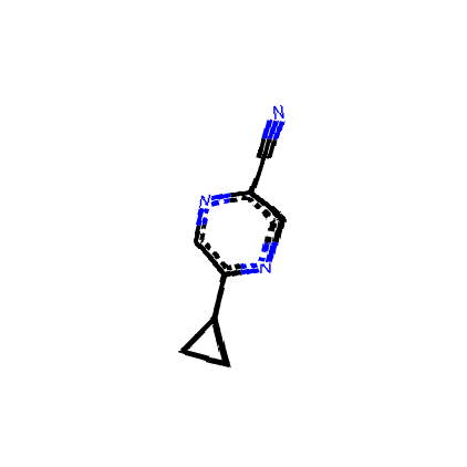 N#Cc1cnc(C2CC2)cn1